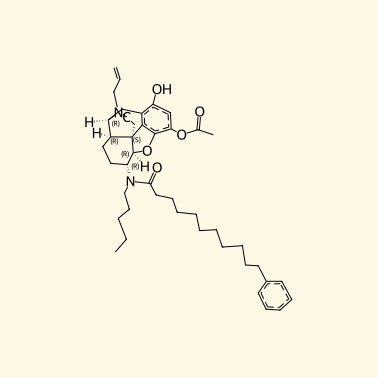 C=CCN1CC[C@]23c4c5c(O)cc(OC(C)=O)c4O[C@H]2[C@H](N(CCCCC)C(=O)CCCCCCCCCCc2ccccc2)CC[C@H]3[C@H]1C5